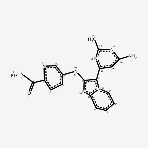 CCNC(=O)c1ccc(Nc2nc3ccccn3c2-c2cc(N)nc(C)n2)cn1